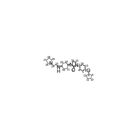 O=c1n(-c2ccc(OC3CCCC3)cc2)ccn1C1CCC(NCCN2CCCC2)CC1